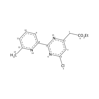 CCOC(=O)Cc1cc(Cl)nc(-c2cccc(C)n2)n1